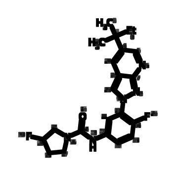 CCC(C)(C)c1cnc2nn(-c3cc(NC(=O)N4CCC(F)C4)ccc3F)cc2c1